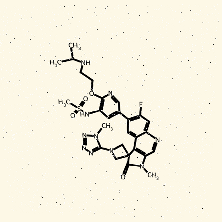 CC(C)NCCOc1ncc(-c2cc3c4c(cnc3cc2F)N(C)C(=O)C42CN(c3nnnn3C)C2)cc1NS(C)(=O)=O